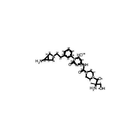 C[C@](N)(CO)C(=O)N1CCN(C(=O)Nc2ccn(-c3cccc(CCN4CC5C(N)C5C4)c3)c(=O)n2)CC1.Cl